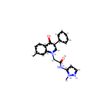 Cc1ccc2c(=O)c(-c3ccccc3)cn(CC(=O)Nc3ccnn3C)c2c1